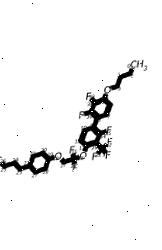 CCCCOc1ccc(-c2ccc(OC(F)(F)COC3CCC(CCCC)CC3)c(C(F)(F)F)c2F)c(F)c1F